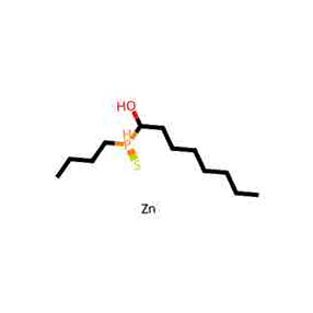 CCCCCCCC(O)[PH](=S)CCCC.[Zn]